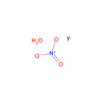 O.O=[N+]([O-])[O-].[Y]